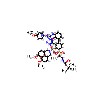 COc1ccc(CN(Cc2ccc(OC)cc2)S(=O)(=O)c2c(S(=O)(=O)[C@H](C)CNC(=O)OC(C)(C)C)ccc(-c3cccc4nc(N)[nH]c34)c2-c2nnn(Cc3ccc(OC)cc3)n2)cc1